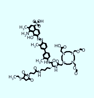 CCSC1CC(=O)N(CCC(=O)NCCCC[C@@H](NC(=O)CN2CCN(COC=O)CCN(COC=O)CCN(CC(=O)O)CC2)C(=O)Nc2ccc(-c3ccc(/N=N/c4ccc5c(S(=O)(=O)O)cc(C)c(N)c5c4O)c(C)c3)cc2C)C1=O